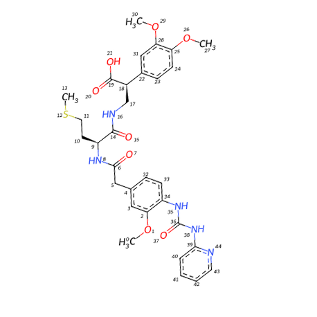 COc1cc(CC(=O)N[C@@H](CCSC)C(=O)NC[C@@H](C(=O)O)c2ccc(OC)c(OC)c2)ccc1NC(=O)Nc1ccccn1